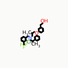 C[C@@H](COc1cccc(CCO)c1)CN(Cc1cccc(C(F)(F)F)c1Cl)C[C@H](C)c1ccccc1